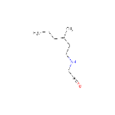 CCCC(C)CCNCB=O